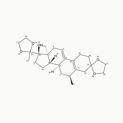 C[C@H]1C[C@@H]2C(=CC[C@@]3(C)[C@H]2CC[C@]3(O)C2(C)OCCO2)C2=C1CC1(CC2)OCCO1